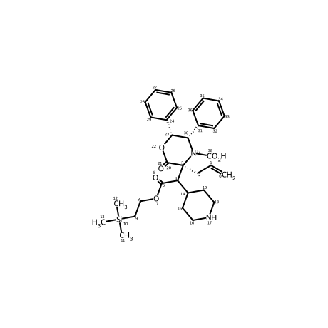 C=CC[C@]1(C(C(=O)OCC[Si](C)(C)C)C2CCNCC2)C(=O)O[C@H](c2ccccc2)[C@H](c2ccccc2)N1C(=O)O